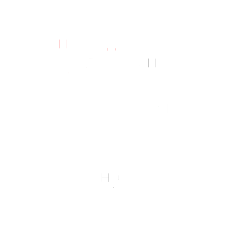 C=Cc1ccc(S(=O)(=O)O)c(C)c1Cl